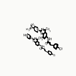 Cc1nc(N2CC3CC2CN3)nc2ccc(NC(=O)C=Cc3ccc(Cl)cc3)cc12.Cc1nc(N2CCC(N(C)C)CC2)nc2ccc(NC(=O)C=Cc3ccc(Cl)cc3)cc12